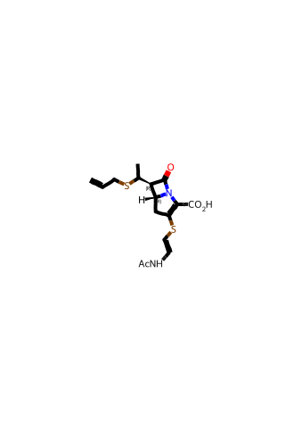 C=CCSC(C)[C@H]1C(=O)N2C(C(=O)O)=C(SC=CNC(C)=O)C[C@H]12